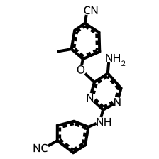 Cc1cc(C#N)ccc1Oc1nc(Nc2ccc(C#N)cc2)ncc1N